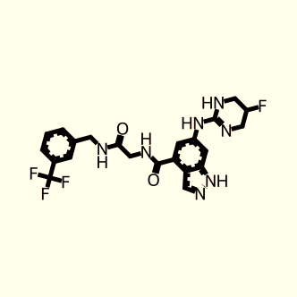 O=C(CNC(=O)c1cc(NC2=NCC(F)CN2)cc2[nH]ncc12)NCc1cccc(C(F)(F)F)c1